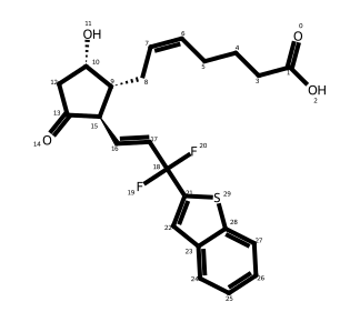 O=C(O)CCC/C=C\C[C@H]1[C@@H](O)CC(=O)[C@@H]1/C=C/C(F)(F)c1cc2ccccc2s1